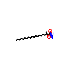 CCCCCCCCCCCCCCCCCC(C)C1ON=NC1=O